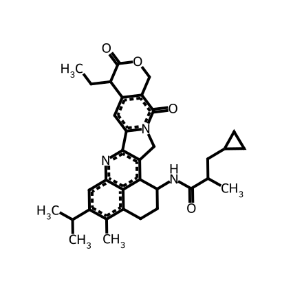 CCC1C(=O)OCc2c1cc1n(c2=O)Cc2c-1nc1cc(C(C)C)c(C)c3c1c2C(NC(=O)C(C)CC1CC1)CC3